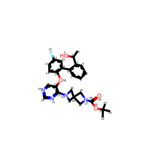 CC(O)c1ccccc1-c1cc(F)ccc1Oc1cncnc1N1CC2(CN(C(=O)OC(C)(C)C)C2)C1